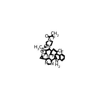 C=C(F)C(=O)N1CCN(c2c(S(C)(=O)=O)c(=O)n(-c3c(C4CC4)ncnc3C3CC3)c3nc(-c4c(N)cccc4F)c(Cl)cc23)CC1